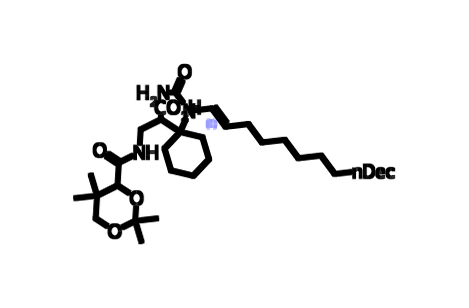 CCCCCCCCCCCCCCCC/C=C/N(C(N)=O)C1(C(CNC(=O)C2OC(C)(C)OCC2(C)C)C(=O)O)CCCCC1